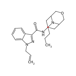 C=CCn1nc(C(=O)NC2CC3COCC(C2)N3CCCC)c2ccccc21